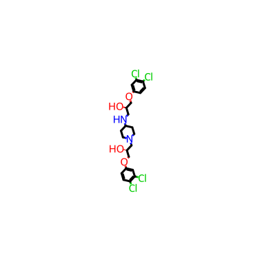 O[C@H](CNC1CCN(C[C@@H](O)COc2ccc(Cl)c(Cl)c2)CC1)COc1ccc(Cl)c(Cl)c1